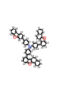 c1ccc2c(c1)ccc1c2oc2cccc(-c3ccc(N(c4ccc(-c5ccc6c(c5)oc5ccccc56)cc4)c4ccc(-c5cccc6oc7c8ccccc8ccc7c56)cc4)cc3)c21